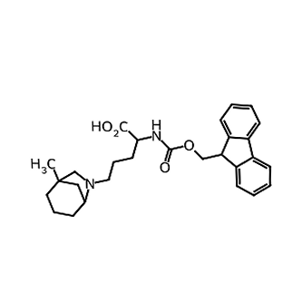 CC12CCCC(C1)N(CCCC(NC(=O)OCC1c3ccccc3-c3ccccc31)C(=O)O)C2